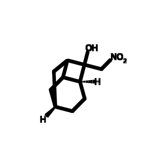 O=[N+]([O-])CC1(O)C2C[C@@H]3CC[C@H]1C2C3